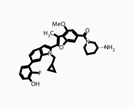 COc1cc(C(=O)N2CCC[C@@H](N)C2)cc2oc(-c3cc4ccc(-c5cccc(O)c5F)cc4n3CC3CC3)c(C)c12